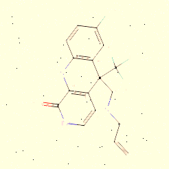 C=CCNCC1(C(F)(F)F)c2cc(F)ccc2Nc2c1cc[nH]c2=O